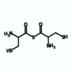 NC(CS)C(=O)SC(=O)C(N)CS